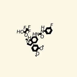 COc1ccc([C@@]23CC[C@@H](NC(=O)Nc4cccc(F)c4)C[C@@H]2N(C)CC3)cc1OC.O=C(O)C(F)(F)F